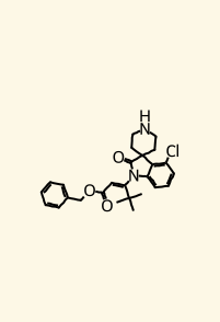 CC(C)(C)C(=CC(=O)OCc1ccccc1)N1C(=O)C2(CCNCC2)c2c(Cl)cccc21